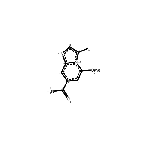 COc1cc(C(N)=O)cc2ncc(C)n12